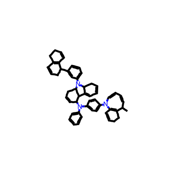 CC1/C=C\C=C/N(c2ccc(N(c3ccccc3)C3C=CCC4C3C3=CC=CCC3N4c3cccc(C4CC=CC5=C4C=CCC5)c3)cc2)C2=C1CCC=C2